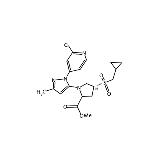 COC(=O)C1C[C@@H](S(=O)(=O)CC2CC2)CN1c1cc(C)nn1-c1ccnc(Cl)c1